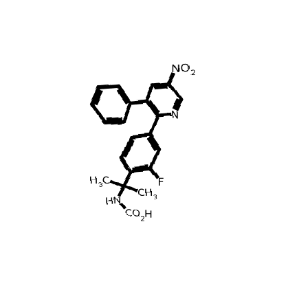 CC(C)(NC(=O)O)c1ccc(-c2ncc([N+](=O)[O-])cc2-c2ccccc2)cc1F